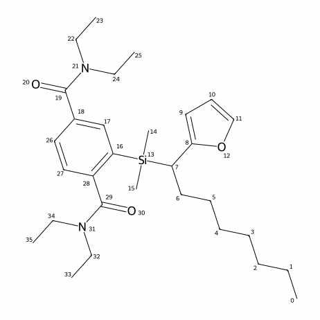 CCCCCCCC(c1ccco1)[Si](C)(C)c1cc(C(=O)N(CC)CC)ccc1C(=O)N(CC)CC